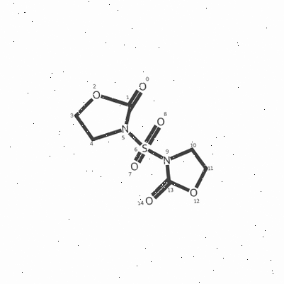 O=C1OCCN1S(=O)(=O)N1CCOC1=O